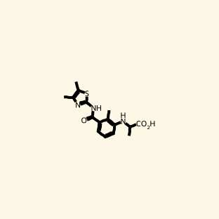 Cc1nc(NC(=O)c2cccc(NC(C)C(=O)O)c2C)sc1C